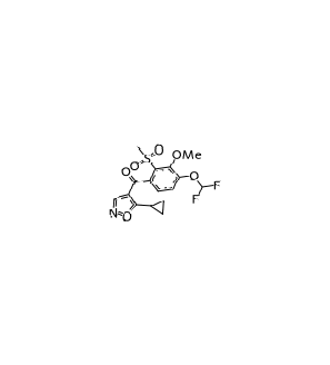 COc1c(OC(F)F)ccc(C(=O)c2cnoc2C2CC2)c1S(C)(=O)=O